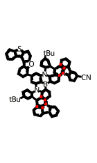 CC(C)(C)c1ccc(N2c3cc(-n4c5ccccc5c5ccccc54)ccc3B3c4ccc(-n5c6ccccc6c6cc(C#N)ccc65)cc4N(c4ccc(C(C)(C)C)cc4-c4ccccc4)c4cc(-c5cccc6c5oc5ccc7sc8ccccc8c7c56)cc2c43)c(-c2ccccc2)c1